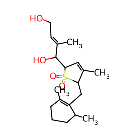 CC1=CC(C(O)/C(C)=C/CO)S(=O)(=O)C1CC1=C(C)CCCC1C